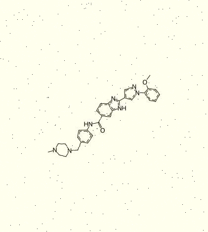 COc1ccccc1-n1cc(-c2nc3ccc(C(=O)Nc4ccc(CN5CCN(C)CC5)cc4)cc3[nH]2)cn1